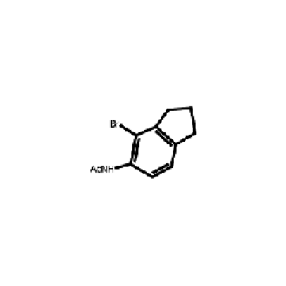 CC(=O)Nc1ccc2c(c1Br)CCC2